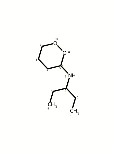 CCC(CC)N[C]1CCCOO1